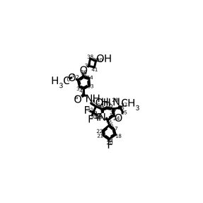 COc1cc(C(=O)NCC(O)(c2cc3c(c(-c4ccc(F)cc4)n2)OCC3(C)N)C(F)(F)F)ccc1OC1CC(O)C1